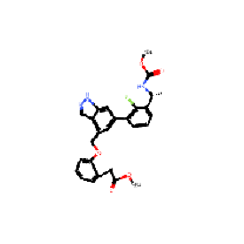 C[C@@H](NC(=O)OC(C)(C)C)c1cccc(-c2cc(COc3ccccc3CC(=O)OC(C)(C)C)c3cn[nH]c3c2)c1F